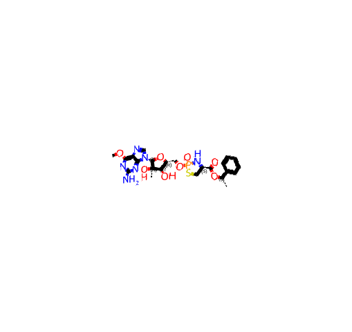 COc1nc(N)nc2c1ncn2[C@@H]1O[C@H](COP2(=O)N[C@@H](C(=O)O[C@@H](C)c3ccccc3)CS2)[C@@H](O)[C@@]1(C)O